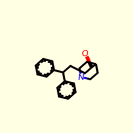 O=C1C2CCN(CC2)C1CC(c1ccccc1)c1ccccc1